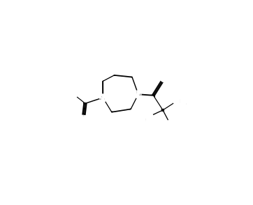 CC(C)(C)C(=O)N1CCCN(C(=O)O)CC1